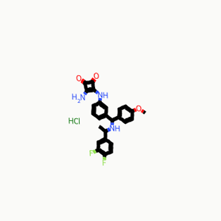 COc1ccc(C(NC(C)c2ccc(F)c(F)c2)c2cccc(Nc3c(N)c(=O)c3=O)c2)cc1.Cl